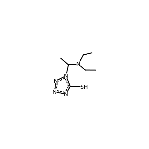 CCN(CC)C(C)n1nnnc1S